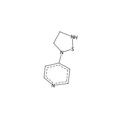 c1cc(N2CCNS2)ccn1